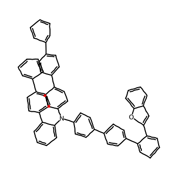 c1ccc(-c2ccc(-c3ccc(N(c4ccc(-c5ccc(-c6ccccc6-c6cc7ccccc7o6)cc5)cc4)c4ccccc4-c4ccc(-c5ccccc5)cc4)cc3)cc2)cc1